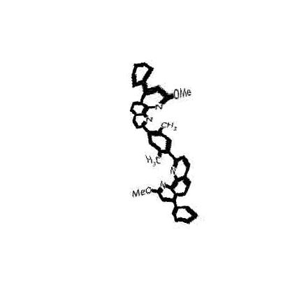 COc1cc(-c2ccccc2)c2ccc3ccc(-c4cc(C)c(-c5ccc6ccc7c(-c8ccccc8)cc(OC)nc7c6n5)cc4C)nc3c2n1